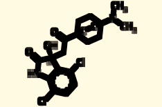 CN(C)C12CCC(C(=O)C[C@@]3(O)C(=O)Nc4c(Cl)ccc(Cl)c43)(CC1)CC2